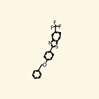 FC(F)(F)c1ccc2sc(-c3ccc(OCc4ccccc4)cc3)nc2c1